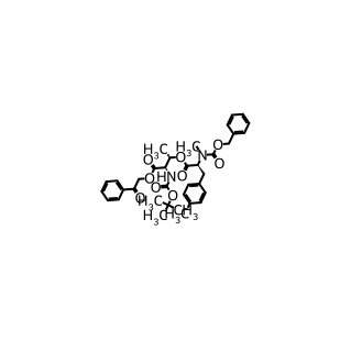 Cc1ccc(C[C@@H](C(=O)O[C@H](C)[C@H](NC(=O)OC(C)(C)C)C(=O)OCC(=O)c2ccccc2)N(C)C(=O)OCc2ccccc2)cc1